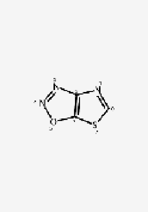 c1nc2nnoc2s1